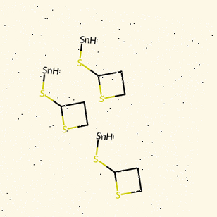 [SnH][S]C1CCS1.[SnH][S]C1CCS1.[SnH][S]C1CCS1